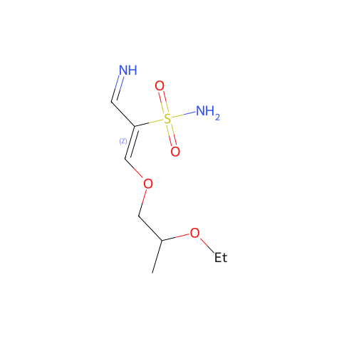 CCOC(C)CO/C=C(/C=N)S(N)(=O)=O